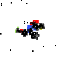 CC(C)Cc1cc(Nc2ncc(-c3cccs3)cc2C(=O)O)nn1-c1cccc(OCC(F)F)c1